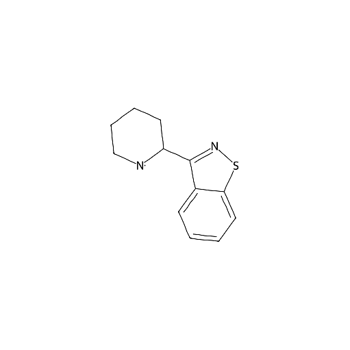 c1ccc2c(C3CCCC[N]3)nsc2c1